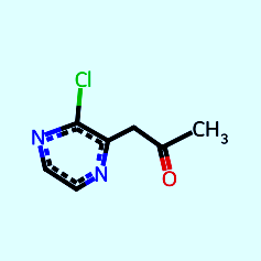 CC(=O)Cc1nccnc1Cl